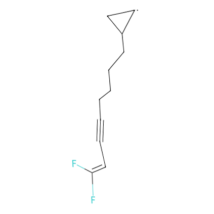 FC(F)=CC#CCCCCC1[CH]C1